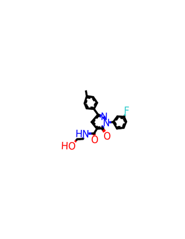 Cc1ccc(-c2cc(C(=O)NCCO)c(=O)n(-c3cccc(F)c3)n2)cc1